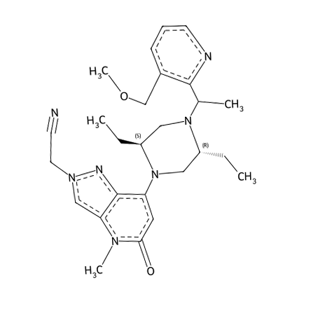 CC[C@H]1CN(C(C)c2ncccc2COC)[C@H](CC)CN1c1cc(=O)n(C)c2cn(CC#N)nc12